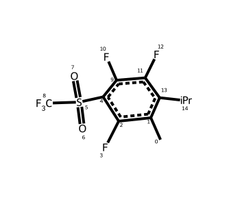 Cc1c(F)c(S(=O)(=O)C(F)(F)F)c(F)c(F)c1C(C)C